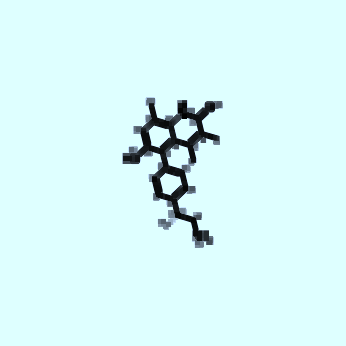 Cc1c(C)c2c(-c3ccc([C@@H](C)CN)cc3)c(O)cc(C)c2[nH]c1=O